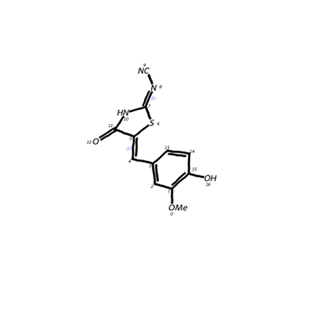 COc1cc(/C=C2\S/C(=N/C#N)NC2=O)ccc1O